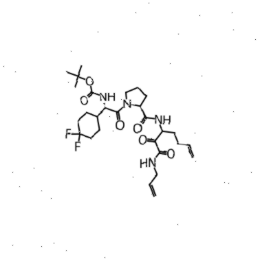 C=CCCC(NC(=O)[C@@H]1CCCN1C(=O)[C@@H](NC(=O)OC(C)(C)C)C1CCC(F)(F)CC1)C(=O)C(=O)NCC=C